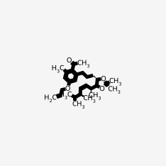 C=CCOc1cc(C)c(C(C)=O)c(CCC[C@@H]2OC(C)(C)OC2[C@H](C)/C=C\[C@@H](C)C(C)C)c1